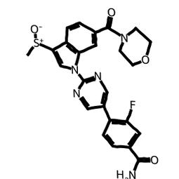 C[S+]([O-])c1cn(-c2ncc(-c3ccc(C(N)=O)cc3F)cn2)c2cc(C(=O)N3CCOCC3)ccc12